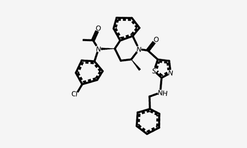 CC(=O)N(c1ccc(Cl)cc1)[C@@H]1C[C@H](C)N(C(=O)c2cnc(NCc3ccccc3)s2)c2ccccc21